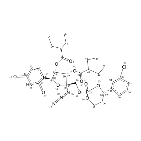 CCC(CC)C(=O)O[C@H]1[C@H](n2ccc(=O)[nH]c2=O)O[C@@](COP2(=O)OCC[C@@H](c3cccc(Cl)c3)O2)(N=[N+]=[N-])[C@H]1OC(=O)C(CC)CC